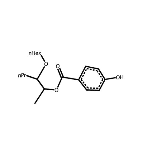 CCCCCCOC(CCC)C(C)OC(=O)c1ccc(O)cc1